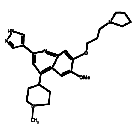 COc1cc2c(C3CCN(C)CC3)cc(-c3cn[nH]c3)nc2cc1OCCCN1CCCC1